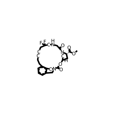 COC(=O)[C@@H]1C[C@@H]2CN1C(=O)CNCC(F)(F)CCCCCc1cccc3c1CN(C3)C(=O)O2